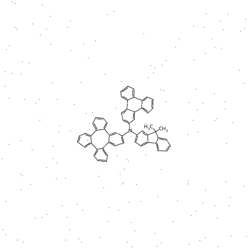 CC1(C)c2ccccc2-c2ccc(N(c3ccc4c(c3)-c3ccccc3-c3ccccc3-c3ccccc3-4)c3ccc4c5ccccc5c5ccccc5c4c3)cc21